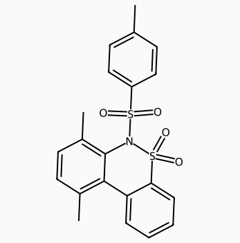 Cc1ccc(S(=O)(=O)N2c3c(C)ccc(C)c3-c3ccccc3S2(=O)=O)cc1